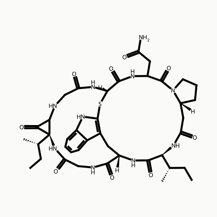 CC[C@H](C)[C@@H]1NC(=O)C[C@H]2CCCN2C(=O)C(CC(N)=O)NC(=O)[C@H]2NC(=O)CNC3C(=O)[C@]3([C@@H](C)CC)NC(=O)CNC(=O)[C@H](Cc3c([nH]c4ccccc34)S2)NC1=O